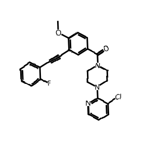 COc1ccc(C(=O)N2CCN(c3ncccc3Cl)CC2)cc1C#Cc1ccccc1F